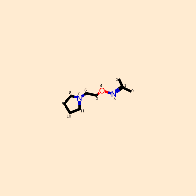 CC(C)=NOCCN1CCCC1